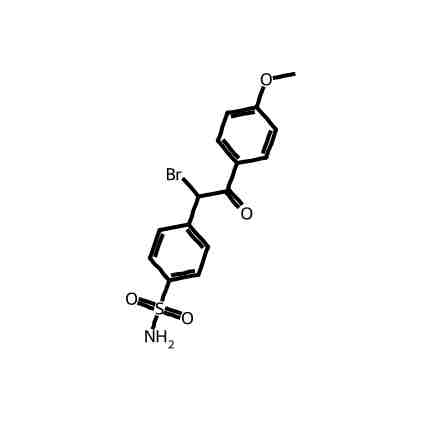 COc1ccc(C(=O)C(Br)c2ccc(S(N)(=O)=O)cc2)cc1